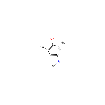 CCNc1cc(C(C)(C)C)c(O)c(C(C)(C)C)c1